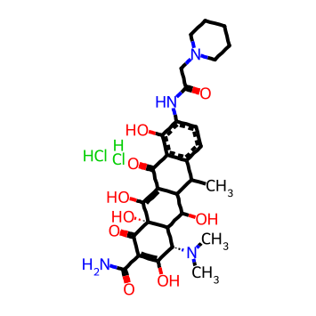 CC1c2ccc(NC(=O)CN3CCCCC3)c(O)c2C(=O)C2=C(O)[C@]3(O)C(=O)C(C(N)=O)=C(O)[C@@H](N(C)C)C3C(O)C21.Cl.Cl